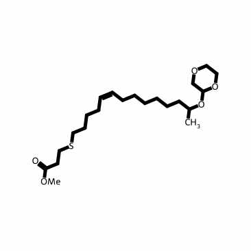 COC(=O)CCSCCCC/C=C\CCCCCCC(C)OC1COCCO1